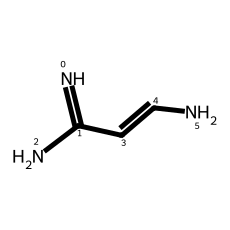 N=C(N)C=CN